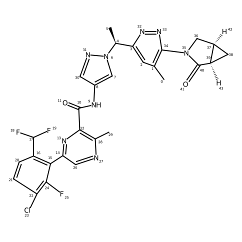 Cc1cc([C@H](C)n2cc(NC(=O)c3nc(-c4c(C(F)F)ccc(Cl)c4F)cnc3C)cn2)nnc1N1C[C@H]2C[C@H]2C1=O